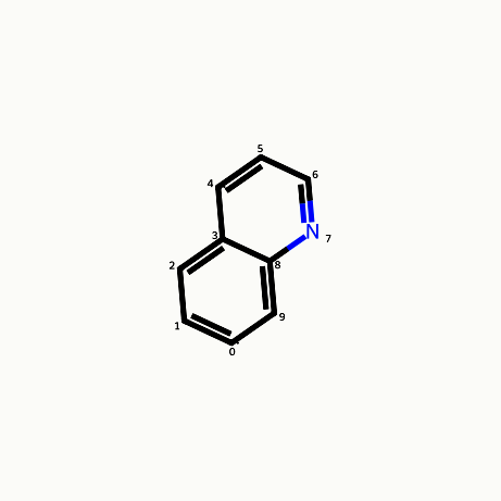 [c]1ccc2[c]ccnc2c1